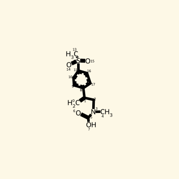 C=C(CN(C)C(=O)O)c1ccc(S(C)(=O)=O)cc1